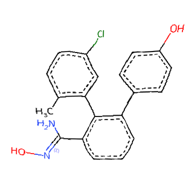 Cc1ccc(Cl)cc1-c1c(/C(N)=N/O)cccc1-c1ccc(O)cc1